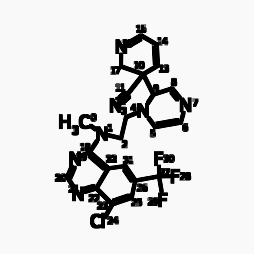 CN(CCN1C=CN=CC1C1(C#N)C=CC=NC1)c1ncnc2c(Cl)cc(C(F)(F)F)cc12